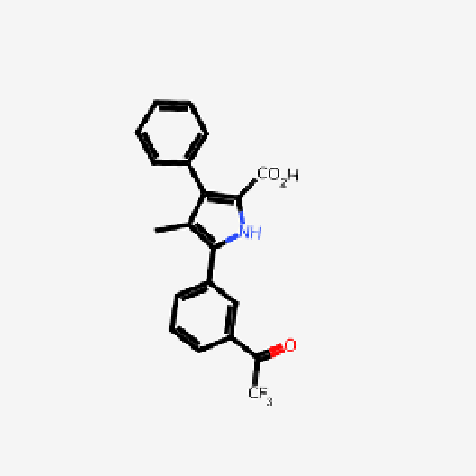 Cc1c(-c2cccc(C(=O)C(F)(F)F)c2)[nH]c(C(=O)O)c1-c1ccccc1